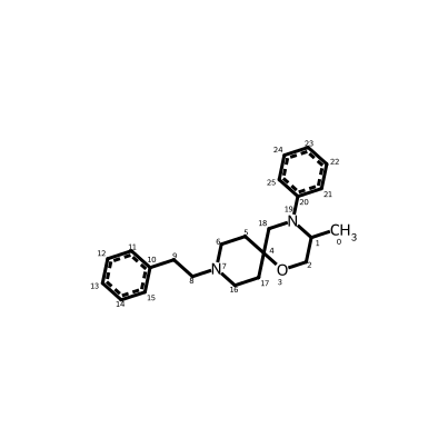 CC1COC2(CCN(CCc3ccccc3)CC2)CN1c1ccccc1